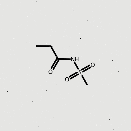 C[CH]C(=O)NS(C)(=O)=O